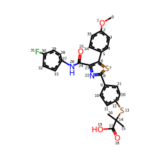 COc1ccc(-c2sc(-c3ccc(SC(C)(C)C(=O)O)cc3)nc2C(=O)Nc2ccc(F)cc2)cc1